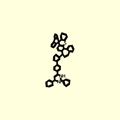 C1=CC2C(c3cccc(-c4ccc(C5=CC(c6ccccc6)NC(c6ccccc6)N5)cc4)c3)C=Cc3ccccc3C2C2=C1C1(c3ccccc3S2)c2ccccc2-c2ccccc21